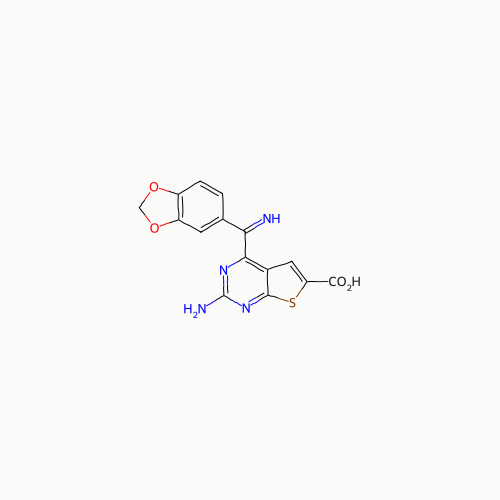 N=C(c1ccc2c(c1)OCO2)c1nc(N)nc2sc(C(=O)O)cc12